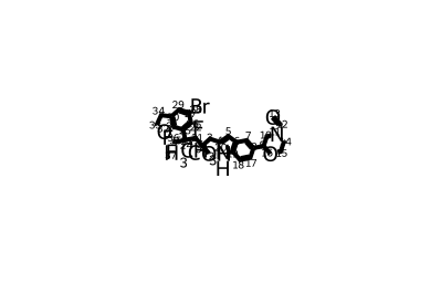 CC(O)(Cc1cc2cc(C3CN(C=O)CCO3)ccc2[nH]1)C(F)C(C)(c1cc(Br)cc2c1OCC2)C(F)F